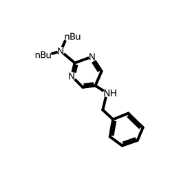 CCCCN(CCCC)c1ncc(NCc2ccccc2)cn1